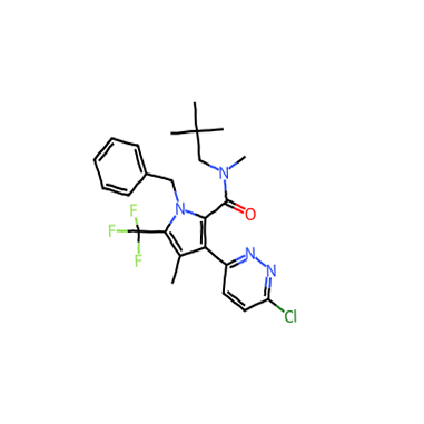 Cc1c(-c2ccc(Cl)nn2)c(C(=O)N(C)CC(C)(C)C)n(Cc2ccccc2)c1C(F)(F)F